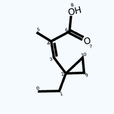 CCC1(C=C(C)C(=O)O)CC1